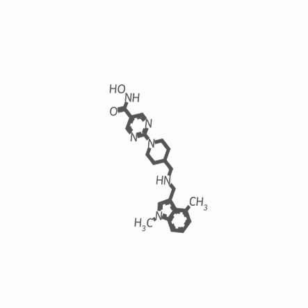 Cc1cccc2c1c(CNCC1CCN(c3ncc(C(=O)NO)cn3)CC1)cn2C